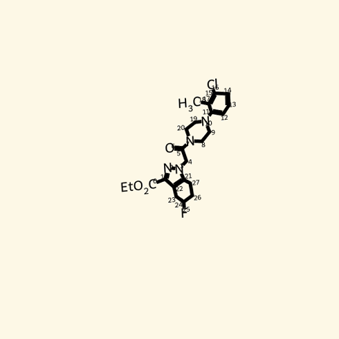 CCOC(=O)c1nn(CC(=O)N2CCN(c3cccc(Cl)c3C)CC2)c2c1CC(F)CC2